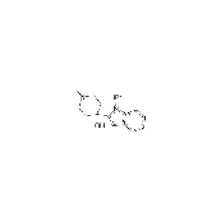 CC(C)n1c(C2(O)CCN(C)CC2)cc2ccccc21